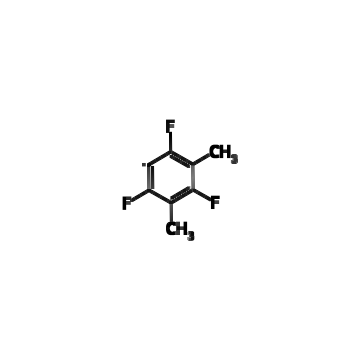 Cc1c(F)[c]c(F)c(C)c1F